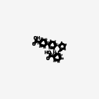 CN1CCC[C@H]1c1cccnc1.O=C(O)c1ccccc1.O=C(O)c1ccccc1